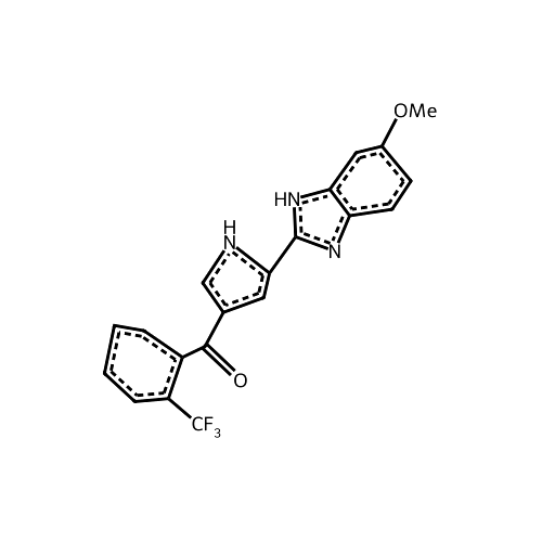 COc1ccc2nc(-c3cc(C(=O)c4ccccc4C(F)(F)F)c[nH]3)[nH]c2c1